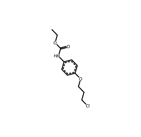 CCOC(=O)Nc1ccc(OCCCCl)cc1